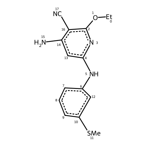 CCOc1nc(Nc2cccc(SC)c2)cc(N)c1C#N